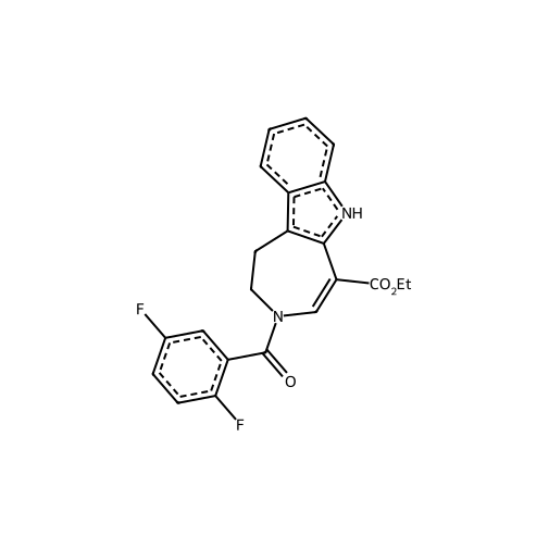 CCOC(=O)C1=CN(C(=O)c2cc(F)ccc2F)CCc2c1[nH]c1ccccc21